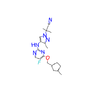 Cc1nn(C(C)(C)C#N)cc1Nc1ncc(F)c(OCC2CCC(C)C2)n1